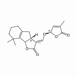 CC1=C[C@H](O/C=C2/C(=O)OC3C4=C(CCCC4(C)C)C[C@H]23)OC1=O